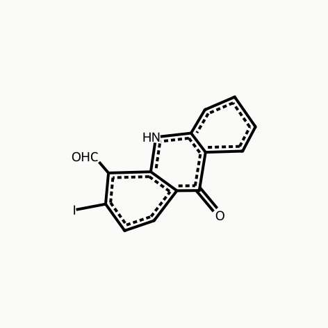 O=Cc1c(I)ccc2c(=O)c3ccccc3[nH]c12